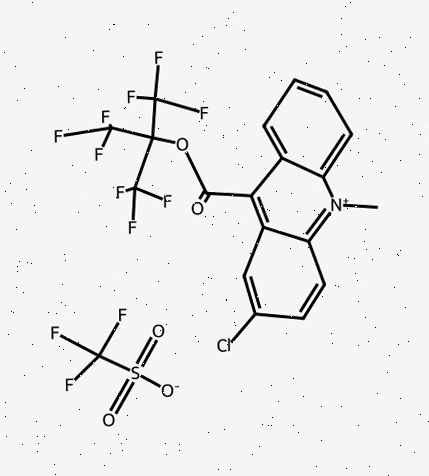 C[n+]1c2ccccc2c(C(=O)OC(C(F)(F)F)(C(F)(F)F)C(F)(F)F)c2cc(Cl)ccc21.O=S(=O)([O-])C(F)(F)F